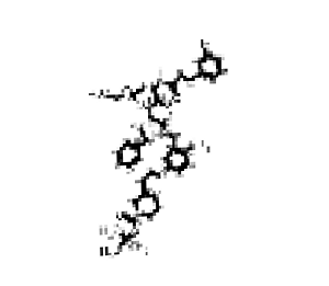 CCOC(=O)C[C@H](NC(=O)CCc1cccc(F)c1)C(=O)N[C@@H](CCc1ccccc1)C(=O)NCc1cc(OCCC2CCCN(C(=O)OC(C)(C)C)C2)ccc1C